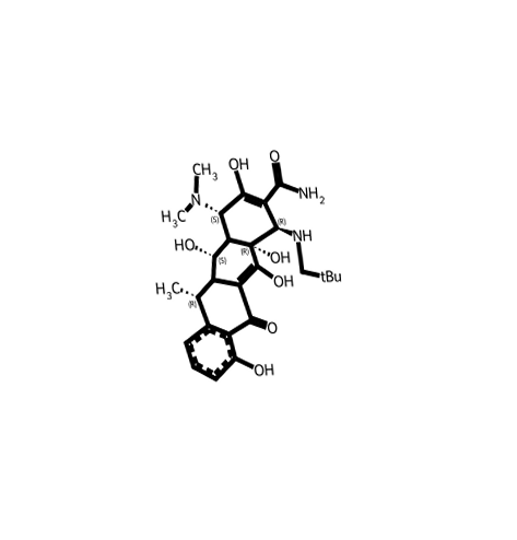 C[C@H]1c2cccc(O)c2C(=O)C2=C(O)[C@@]3(O)C([C@@H](O)C21)[C@H](N(C)C)C(O)=C(C(N)=O)[C@H]3NCC(C)(C)C